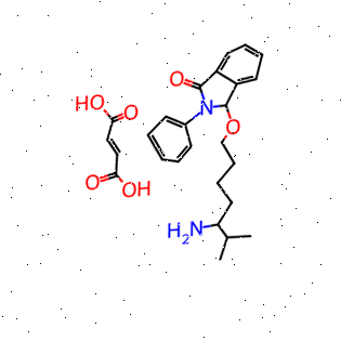 CC(C)C(N)CCCCOC1c2ccccc2C(=O)N1c1ccccc1.O=C(O)C=CC(=O)O